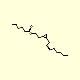 CCCCC/C=C\CC1CC1CCOC(=O)CCCCC